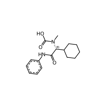 CN(C(=O)O)[C@@H](C(=O)Nc1ccccc1)C1CCCCC1